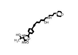 COC(=O)C(NC(=O)c1ccc(C#C/C=C/C=C(\O)CNCCCN2CCOCC2)cc1)C(C)O